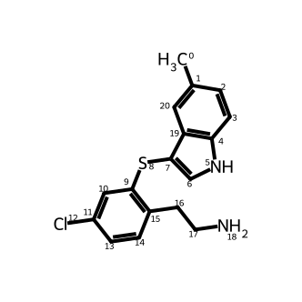 Cc1ccc2[nH]cc(Sc3cc(Cl)ccc3CCN)c2c1